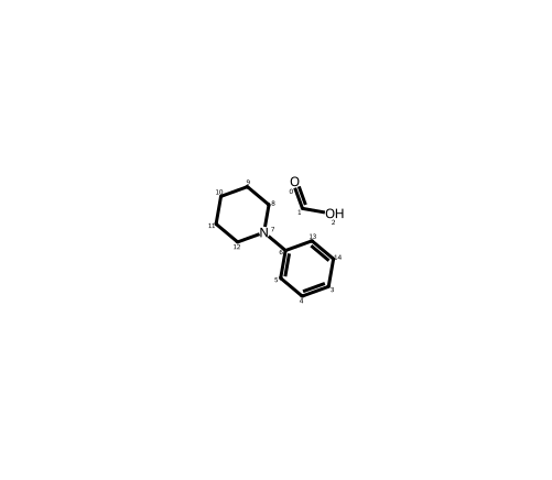 O=CO.c1ccc(N2CCCCC2)cc1